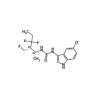 CCC(F)(F)[C@@H](CF)[C@@H](C)NC(=O)Nc1c[nH]c2ccc(Cl)cc12